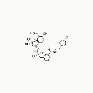 CC(C)(Cc1cccc(C(=O)NCCc2ccc(Cl)cc2)c1)NC[C@H](O[Si](C)(C)C(C)(C)C)c1ccc(O)c(CO)c1